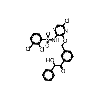 O=C(c1cccc(COc2nc(Cl)cnc2NS(=O)(=O)c2cccc(Cl)c2Cl)c1)C(O)c1ccccc1